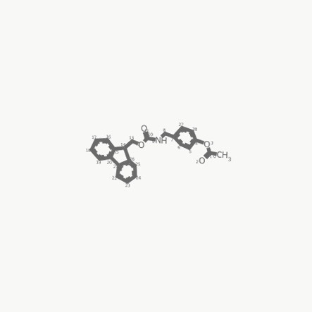 CC(=O)Oc1ccc(CNC(=O)OCC2c3ccccc3-c3ccccc32)cc1